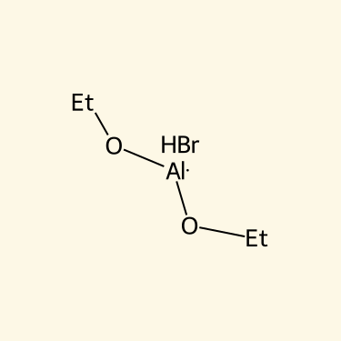 Br.CC[O][Al][O]CC